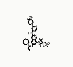 C=CC(=O)N1CCCCC[C@H]1c1ccc(N2[C@H](C)[C@@H](CS(C)(=O)=O)C2(C)C)c2cnc(Nc3ccnc(N4CCC(C)(O)CC4)n3)cc12